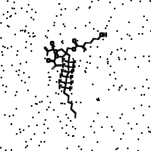 C=C(C)C(=O)OCC(COC(=O)C(=C)C)(COC(=O)C(=C)CCCCO)CC(F)(F)C(F)(F)C(F)(F)C(F)(F)C(F)(F)C(F)(F)CCCCCCC